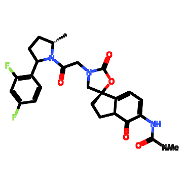 CNC(=O)NC1=CC=C2C(CC[C@]23CN(CC(=O)N2C(c4ccc(F)cc4F)CC[C@@H]2C)C(=O)O3)C1=O